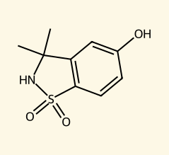 CC1(C)NS(=O)(=O)c2ccc(O)cc21